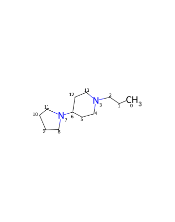 CCCN1CCC(N2CCCC2)CC1